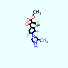 CCOC(=O)c1c2n(c3c(F)c(N4CCNC(C)C4)c(F)cc3c1=O)CS2